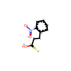 O=[N+]([O-])c1ccccc1CCC(O)=S